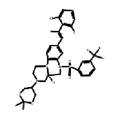 C/C(=C\c1ccc2c(c1)N(S(=O)(=O)c1cccc(C(F)(F)F)c1)C[C@@H]1CN(C3COC(C)(C)OC3)CCN21)c1c(F)cccc1Cl